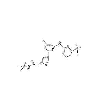 Cc1cc(Nc2nccc(C(F)(F)F)n2)cc(-c2cnn(CC(=O)NC(C)(C)C)c2)c1